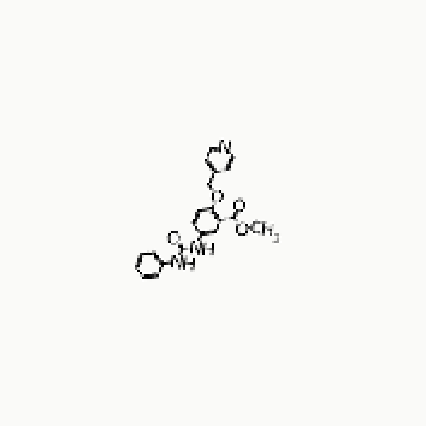 COC(=O)c1cc(NC(=O)Nc2ccccc2)ccc1OCc1ccncc1